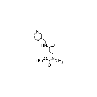 CN(CCC(=O)NCc1cccnc1)C(=O)OC(C)(C)C